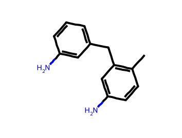 Cc1ccc(N)cc1Cc1cccc(N)c1